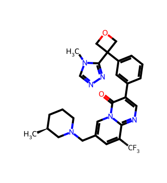 C[C@H]1CCCN(Cc2cc(C(F)(F)F)c3ncc(-c4cccc(C5(c6nncn6C)COC5)c4)c(=O)n3c2)C1